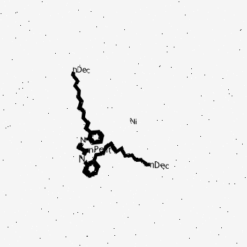 CCCCCCCCCCCCCCCC/C=C/CCCc1ccccc1/N=C\C(CCCCC)=N\c1ccccc1CCC/C=C/CCCCCCCCCCCCCCCC.[Ni]